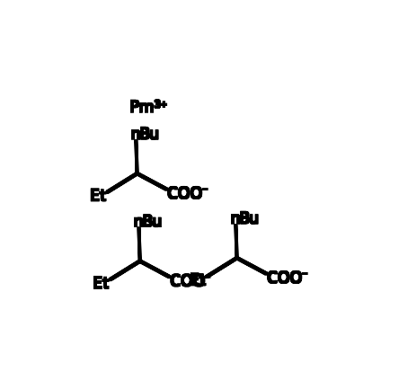 CCCCC(CC)C(=O)[O-].CCCCC(CC)C(=O)[O-].CCCCC(CC)C(=O)[O-].[Pm+3]